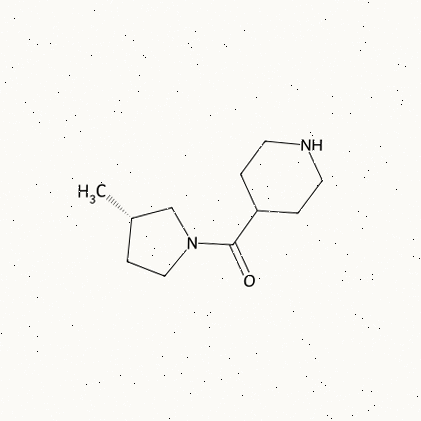 C[C@H]1CCN(C(=O)C2CCNCC2)C1